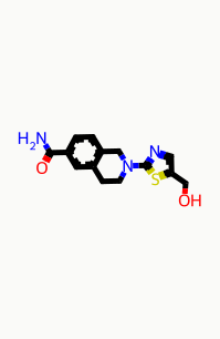 NC(=O)c1ccc2c(c1)CCN(c1ncc(CO)s1)C2